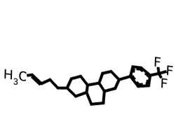 C/C=C/CCC1CCC2C(CCC3CC(c4ccc(C(F)(F)F)cc4)CCC32)C1